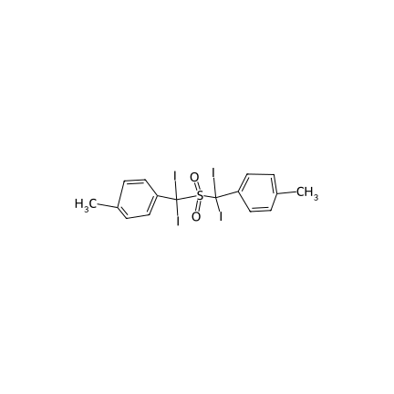 Cc1ccc(C(I)(I)S(=O)(=O)C(I)(I)c2ccc(C)cc2)cc1